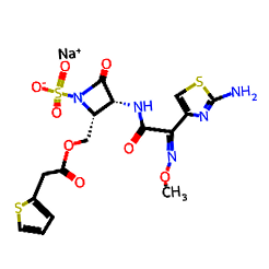 CO/N=C(\C(=O)N[C@H]1C(=O)N(S(=O)(=O)[O-])[C@H]1COC(=O)Cc1cccs1)c1csc(N)n1.[Na+]